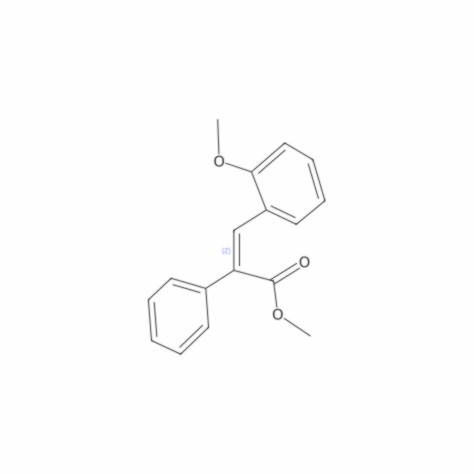 COC(=O)/C(=C\c1ccccc1OC)c1ccccc1